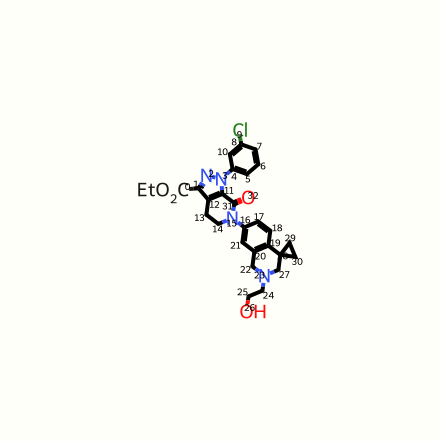 CCOC(=O)c1nn(-c2cccc(Cl)c2)c2c1CCN(c1ccc3c(c1)CN(CCO)CC31CC1)C2=O